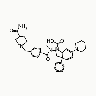 CN(CCC1(c2ccccc2)C=CC(N2CCCCC2)=CC1NC(=O)O)C(=O)c1ccc(CN2CCC(C(N)=O)CC2)cc1